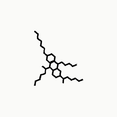 CCCCCCCC1CCC2=C(C1)C(C(C)CCCCC)C1CCC(C(C)CCCCC)CC1C2CCCCI